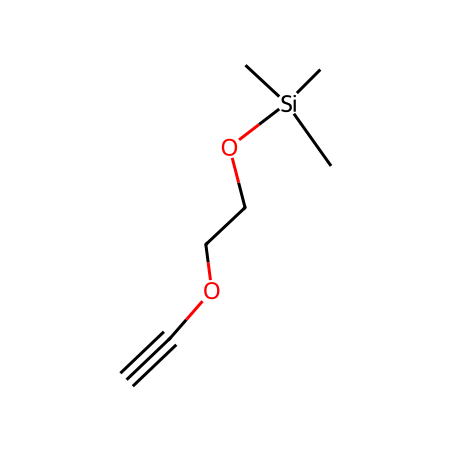 C#COCCO[Si](C)(C)C